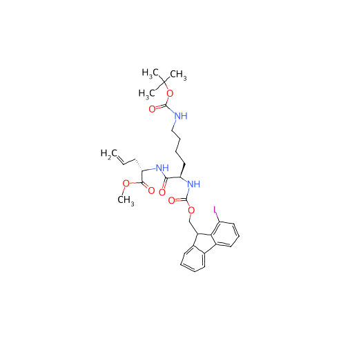 C=CC[C@H](NC(=O)[C@@H](CCCCNC(=O)OC(C)(C)C)NC(=O)OCC1c2ccccc2-c2cccc(I)c21)C(=O)OC